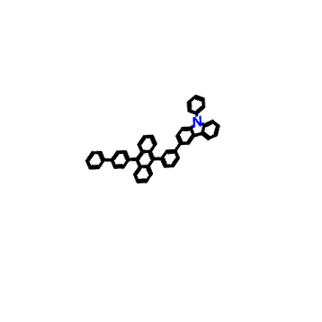 c1ccc(-c2ccc(-c3c4ccccc4c(-c4cccc(-c5ccc6c(c5)c5ccccc5n6-c5ccccc5)c4)c4ccccc34)cc2)cc1